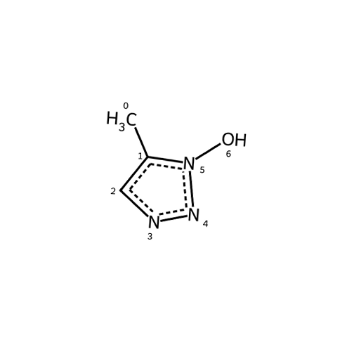 Cc1cnnn1O